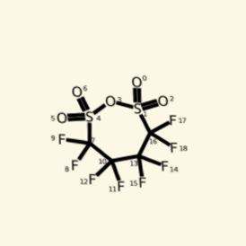 O=S1(=O)OS(=O)(=O)C(F)(F)C(F)(F)C(F)(F)C1(F)F